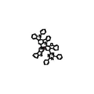 N#Cc1cc(-c2nc(-c3ccccc3)nc(-c3ccccc3)n2)c2c(oc3ccccc32)c1-n1c2ccccc2c2c1c(-c1ccc3sc4ccccc4c3c1)cc1c3ccccc3n(-c3ccccc3)c12